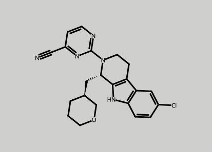 N#Cc1ccnc(N2CCc3c([nH]c4ccc(Cl)cc34)[C@@H]2C[C@@H]2CCCOC2)n1